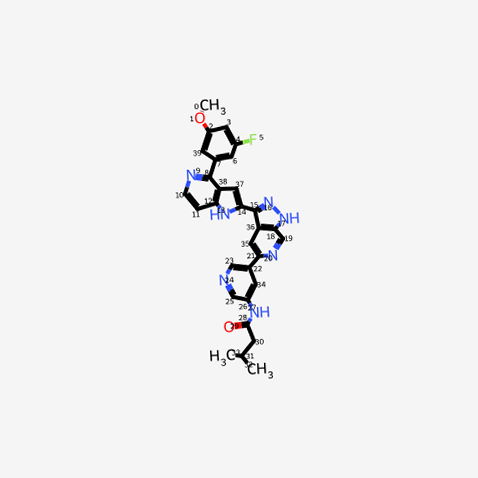 COc1cc(F)cc(-c2nccc3[nH]c(-c4n[nH]c5cnc(-c6cncc(NC(=O)CC(C)C)c6)cc45)cc23)c1